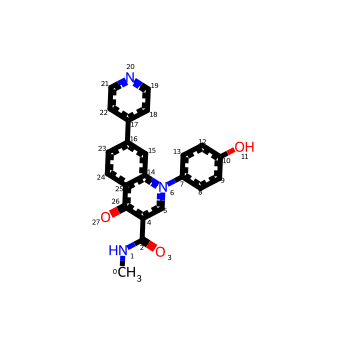 CNC(=O)c1cn(-c2ccc(O)cc2)c2cc(-c3ccncc3)ccc2c1=O